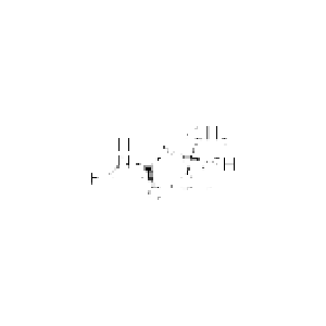 CCNC(=O)NC(C)(C)S